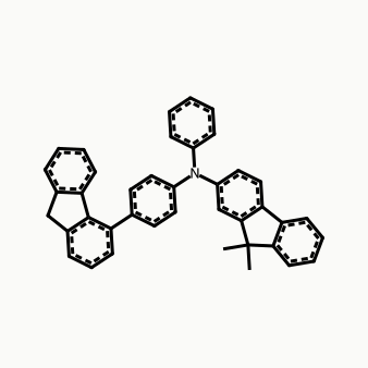 CC1(C)c2ccccc2-c2ccc(N(c3ccccc3)c3ccc(-c4cccc5c4-c4ccccc4C5)cc3)cc21